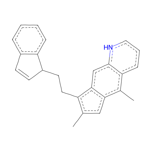 Cc1cc2c(C)c3ccc[nH]c3cc2c1CCC1C=Cc2ccccc21